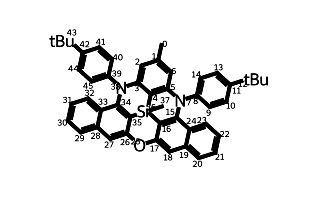 Cc1cc2c3c(c1)N(c1ccc(C(C)(C)C)cc1)c1c4c(cc5ccccc15)Oc1cc5ccccc5c(c1[Si]34C)N2c1ccc(C(C)(C)C)cc1